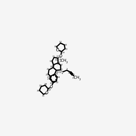 CC#CCC[C@H]1C[C@@]2(C)C(CC[C@@H]2OC2CCCCO2)C2CCc3cc(OC4CCCCO4)ccc3C21